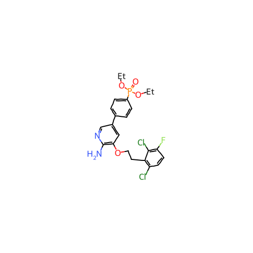 CCOP(=O)(OCC)c1ccc(-c2cnc(N)c(OCCc3c(Cl)ccc(F)c3Cl)c2)cc1